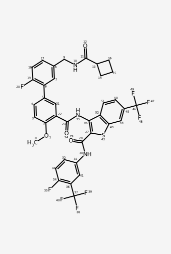 COc1ccc(-c2cc(CNC(=O)C3CCC3)ccc2F)cc1C(=O)Nc1c(C(=O)Nc2ccc(F)c(C(F)(F)F)c2)sc2cc(C(F)(F)F)ccc12